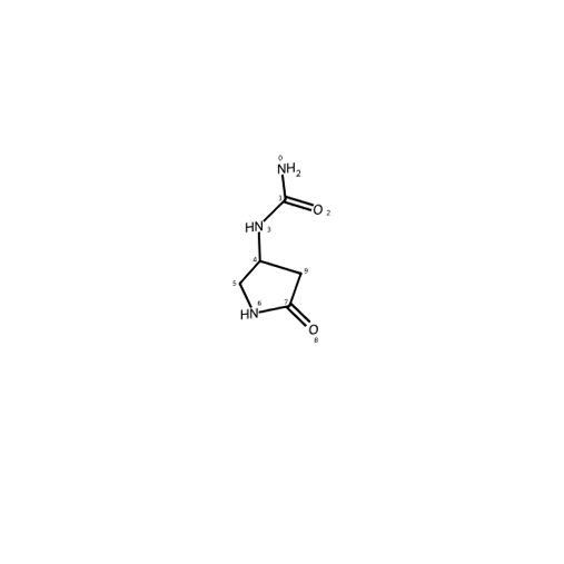 NC(=O)NC1CNC(=O)C1